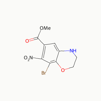 COC(=O)c1cc2c(c(Br)c1[N+](=O)[O-])OCCN2